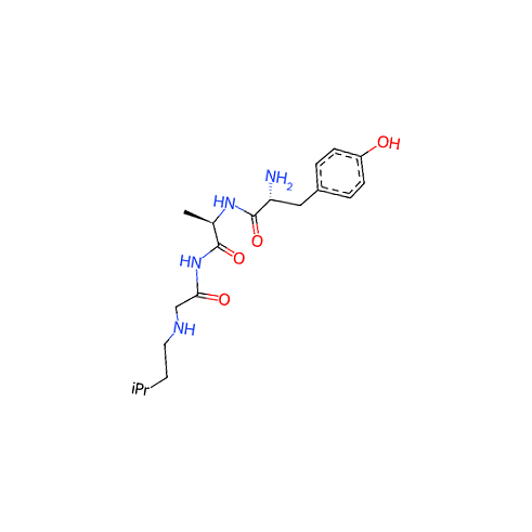 CC(C)CCNCC(=O)NC(=O)[C@@H](C)NC(=O)[C@H](N)Cc1ccc(O)cc1